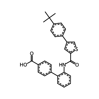 CC(C)(C)c1ccc(-c2csc(C(=O)Nc3ccccc3-c3ccc(C(=O)O)cc3)c2)cc1